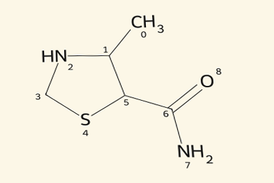 CC1NCSC1C(N)=O